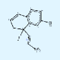 O=[N+]([O-])/C=C/C1(F)CC=Cc2ccc(Cl)cc21